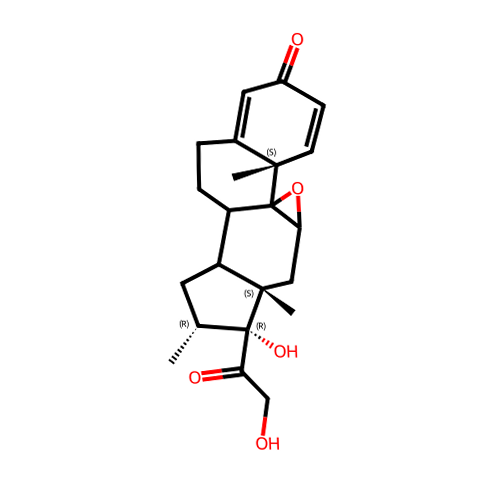 C[C@@H]1CC2C3CCC4=CC(=O)C=C[C@]4(C)C34OC4C[C@]2(C)[C@@]1(O)C(=O)CO